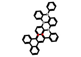 c1ccc(N2c3ccccc3B3c4ccccc4N(c4ccccc4-c4ccc5c6ccccc6c6ccccc6c5c4)c4cccc2c43)cc1